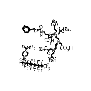 CC(C)(C)OC(=O)CCN(CCN(CC[N+](CCC(=O)OC(C)(C)C)(CC(=O)OC(C)(C)C)N[C@@H](CCCCNC(=O)OCc1ccccc1)C(=O)O)CC(=O)O)CC(=O)OC(C)(C)C.NC(=O)N1CCN(S(=O)(=O)C(F)(F)C(F)(F)C(F)(F)C(F)(F)C(F)(F)C(F)(F)C(F)(F)C(F)(F)F)CC1